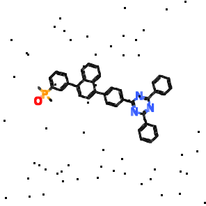 CP(C)(=O)c1cccc(-c2ccc(-c3ccc(-c4nc(-c5ccccc5)nc(-c5ccccc5)n4)cc3)c3ccccc23)c1